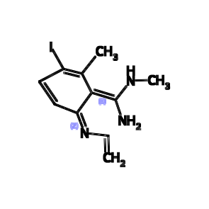 C=C/N=C1/C=CC(I)=C(C)/C1=C(/N)NC